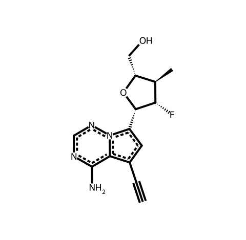 C#Cc1cc([C@@H]2O[C@H](CO)[C@@H](C)[C@@H]2F)n2ncnc(N)c12